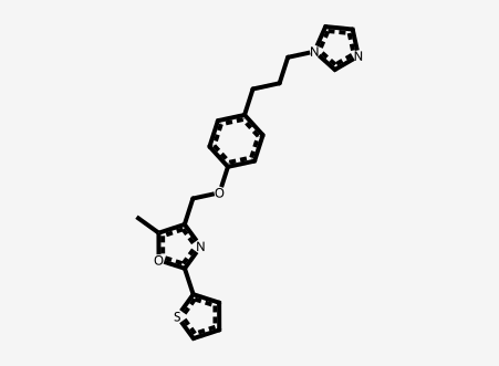 Cc1oc(-c2cccs2)nc1COc1ccc(CCCn2ccnc2)cc1